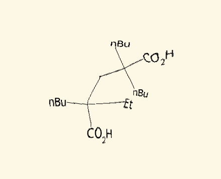 CCCCC(CC)(CC(CCCC)(CCCC)C(=O)O)C(=O)O